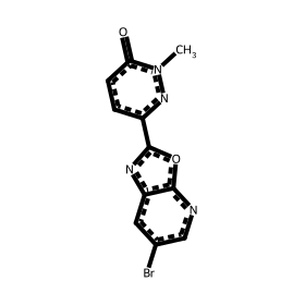 Cn1nc(-c2nc3cc(Br)cnc3o2)ccc1=O